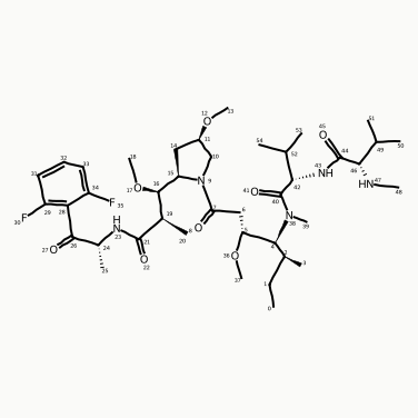 CC[C@H](C)[C@@H]([C@@H](CC(=O)N1C[C@H](OC)C[C@@H]1[C@H](OC)[C@@H](C)C(=O)N[C@H](C)C(=O)c1c(F)cccc1F)OC)N(C)C(=O)[C@@H](NC(=O)[C@@H](NC)C(C)C)C(C)C